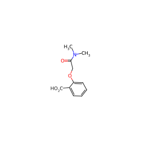 CN(C)C(=O)COc1ccccc1C(=O)O